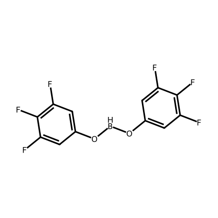 Fc1cc(OBOc2cc(F)c(F)c(F)c2)cc(F)c1F